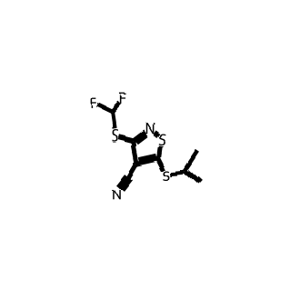 CC(C)Sc1snc(SC(F)F)c1C#N